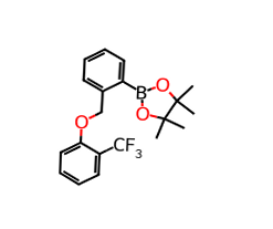 CC1(C)OB(c2ccccc2COc2ccccc2C(F)(F)F)OC1(C)C